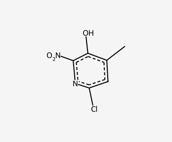 Cc1cc(Cl)nc([N+](=O)[O-])c1O